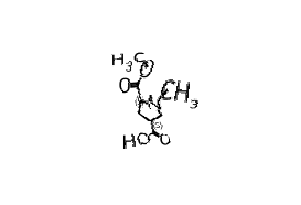 COC(=O)[C@@H]1C[C@H](C(=O)O)CN1C